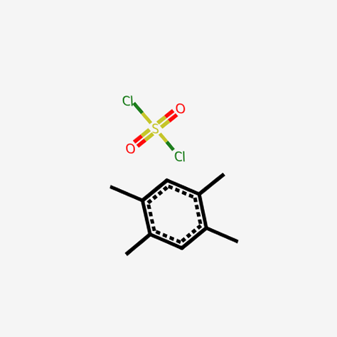 Cc1cc(C)c(C)cc1C.O=S(=O)(Cl)Cl